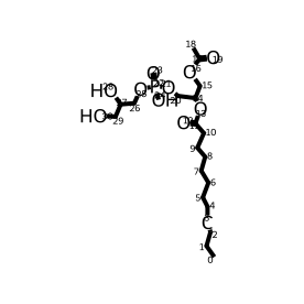 CCCCCCCCCCCC(=O)OC(COC(C)=O)COP(=O)(O)OCC(O)CO